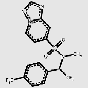 CN(C(c1ccc(C(F)(F)F)cc1)C(F)(F)F)S(=O)(=O)c1ccn2ncnc2c1